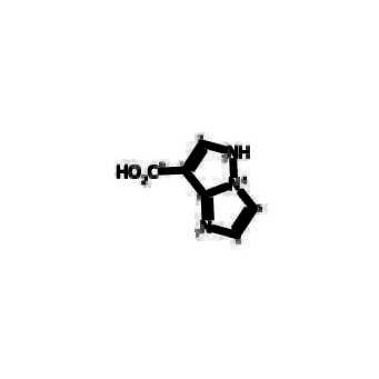 O=C(O)c1c[nH]n2ccnc12